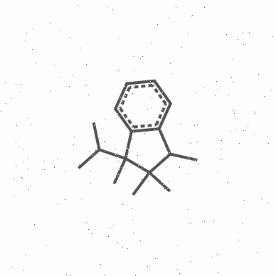 CC1c2ccccc2C(C)(C(C)C)C1(C)C